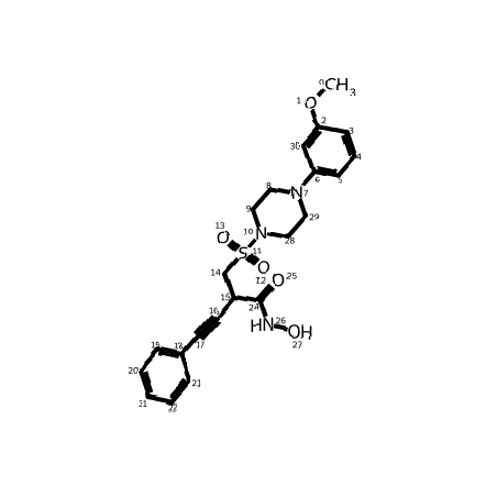 COc1cccc(N2CCN(S(=O)(=O)CC(C#Cc3ccccc3)C(=O)NO)CC2)c1